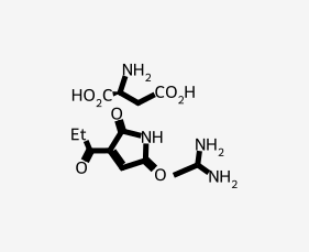 CC(N)N.CCC(=O)C1=CC(=O)NC1=O.N[C@@H](CC(=O)O)C(=O)O